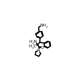 CC(N)(C(=O)N1CCCC1)C(c1ccccc1)c1ccc(CN)cc1